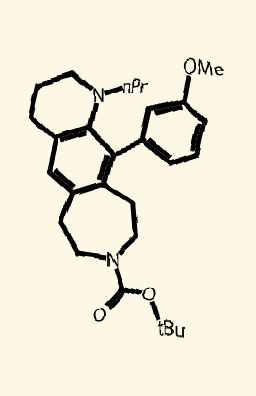 CCCN1CCCc2cc3c(c(-c4cccc(OC)c4)c21)CCN(C(=O)OC(C)(C)C)CC3